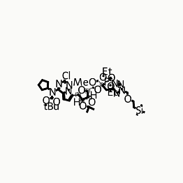 CCOP(=O)(OCC)[C@@](COC)(Cc1nnn(COCC[Si](C)(C)C)n1)OC[C@H]1O[C@H](c2ccc3c(N(C(=O)OC(C)(C)C)C4CCCC4)nc(Cl)nn23)[C@@H]2OC(C)(C)O[C@@H]21